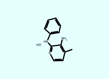 Cc1ccnc(Nc2ccccc2)c1N.Cl